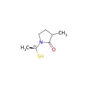 CC1CCN([C@H](C)S)C1=O